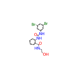 O=C(Nc1cc(Br)cc(Br)c1)Nc1ccccc1C(=O)NCCO